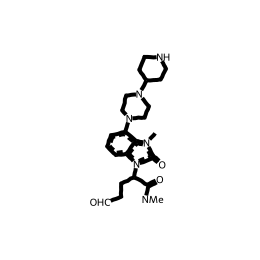 CNC(=O)C(CCC=O)n1c(=O)n(C)c2c(N3CCN(C4CCNCC4)CC3)cccc21